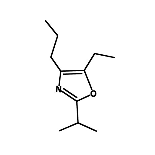 CCCc1nc(C(C)C)oc1CC